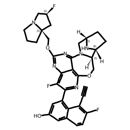 C#Cc1c(F)ccc2cc(O)cc(-c3nc4c5c(nc(OC[C@@]67CCCN6C[C@@H](F)C7)nc5c3F)N3C[C@@H]5CC[C@@H](N5)[C@H]3CO4)c12